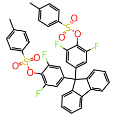 Cc1ccc(S(=O)(=O)Oc2c(F)cc(C3(c4cc(F)c(OS(=O)(=O)c5ccc(C)cc5)c(F)c4)c4ccccc4-c4ccccc43)cc2F)cc1